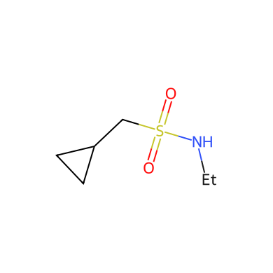 [CH2]CNS(=O)(=O)CC1CC1